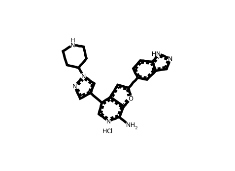 Cl.Nc1ncc(-c2cnn(C3CCNCC3)c2)c2cc(-c3ccc4[nH]ncc4c3)oc12